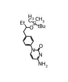 CCC(Cc1ccc(-n2ccc(N)nc2=O)cc1)O[Si](C)(C)C(C)(C)C